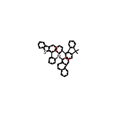 CC1(C)c2ccccc2-c2c(-c3ccccc3N(c3ccccc3-c3cccc4c3sc3ccccc34)c3cccc4c3ccc3ccccc34)cccc21